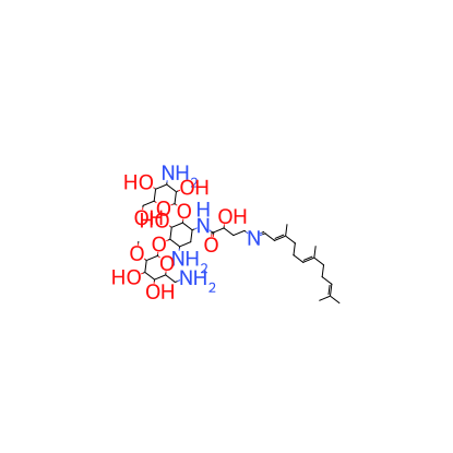 COC1C(OC2C(N)CC(NC(=O)C(O)CC/N=C/C=C(\C)CC/C=C(\C)CCC=C(C)C)C(OC3OC(CO)C(O)C(N)C3O)C2O)OC(CN)C(O)C1O